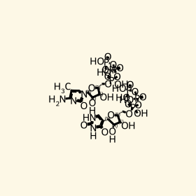 Cc1cn([C@@H]2O[C@H](COP(=O)(O)OP(=O)(O)OP(=O)(O)O)[C@@H](O)[C@H]2O)c(=O)nc1N.O=c1[nH]cc([C@@H]2O[C@H](COP(=O)(O)OP(=O)(O)OP(=O)(O)O)[C@@H](O)[C@H]2O)c(=O)[nH]1